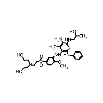 COc1ccc(S(=O)(=O)CCN(CCO)CCO)cc1/N=N/c1c(Nc2ccccc2)nc(NCC(C)O)c(N)c1C